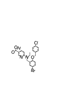 CCN(Cc1cc(Br)ccc1OCc1ccc(Cl)cc1)c1ccc(C(=O)O)cn1